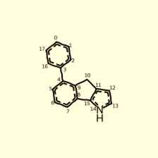 c1ccc(-c2cccc3c2Cc2cc[nH]c2-3)cc1